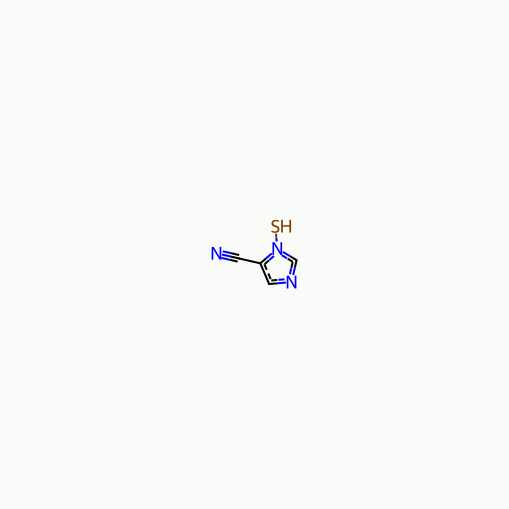 N#Cc1cncn1S